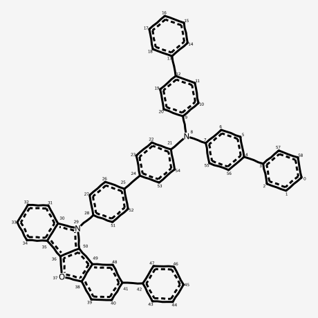 c1ccc(-c2ccc(N(c3ccc(-c4ccccc4)cc3)c3ccc(-c4ccc(-n5c6ccccc6c6oc7ccc(-c8ccccc8)cc7c65)cc4)cc3)cc2)cc1